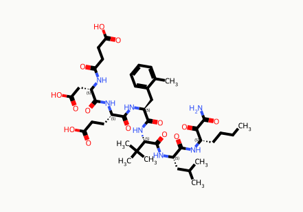 CCCC[C@H](NC(=O)[C@H](CC(C)C)NC(=O)[C@@H](NC(=O)[C@H](Cc1ccccc1C)NC(=O)[C@H](CCC(=O)O)NC(=O)[C@H](CC(=O)O)NC(=O)CCC(=O)O)C(C)(C)C)C(=O)C(N)=O